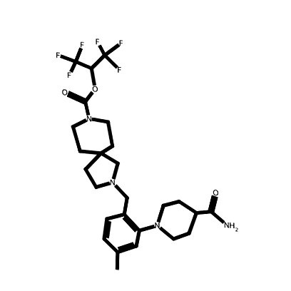 Cc1ccc(CN2CCC3(CCN(C(=O)OC(C(F)(F)F)C(F)(F)F)CC3)C2)c(N2CCC(C(N)=O)CC2)c1